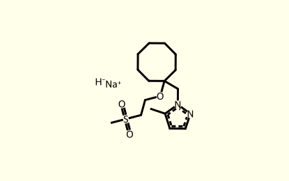 Cc1ccnn1CC1(OCCS(C)(=O)=O)CCCCCCC1.[H-].[Na+]